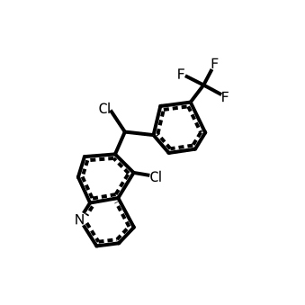 FC(F)(F)c1cccc(C(Cl)c2ccc3ncccc3c2Cl)c1